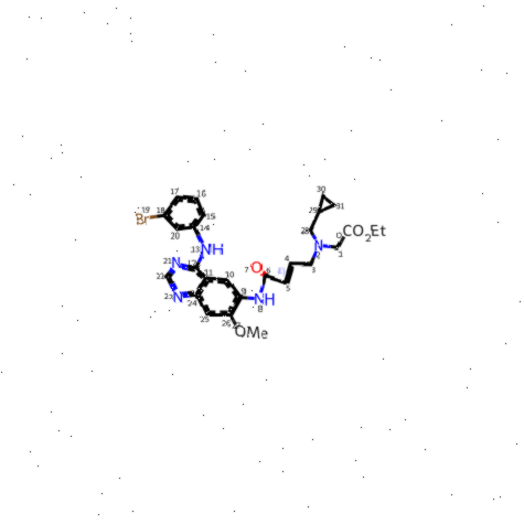 CCOC(=O)CN(C/C=C/C(=O)Nc1cc2c(Nc3cccc(Br)c3)ncnc2cc1OC)CC1CC1